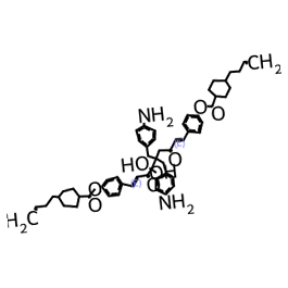 C=CCCC1CCC(C(=O)Oc2ccc(/C=C/C(=O)CC(Cc3ccc(N)cc3)(Cc3ccc(N)cc3)C(O)(O)C(=O)/C=C/c3ccc(OC(=O)C4CCC(CCC=C)CC4)cc3)cc2)CC1